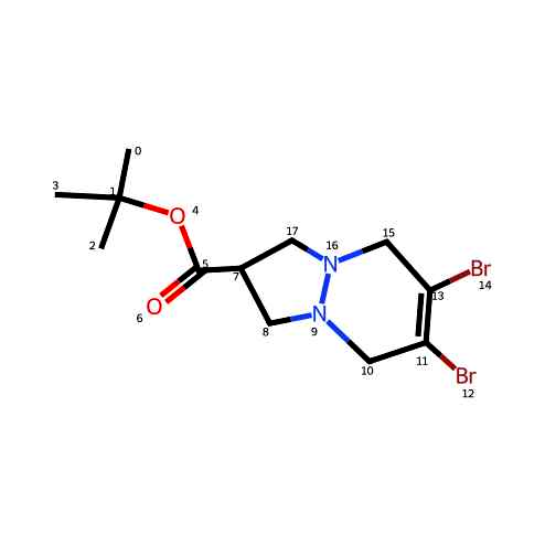 CC(C)(C)OC(=O)C1CN2CC(Br)=C(Br)CN2C1